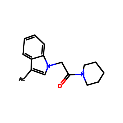 CC(=O)c1cn(CC(=O)N2CCCCC2)c2ccccc12